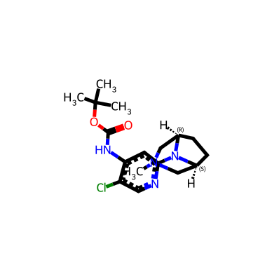 CN1C[C@H]2CC[C@@H](C1)N2c1cc(NC(=O)OC(C)(C)C)c(Cl)cn1